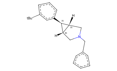 CC(C)(C)c1cccc([C@H]2[C@@H]3CN(Cc4ccccc4)C[C@@H]32)c1